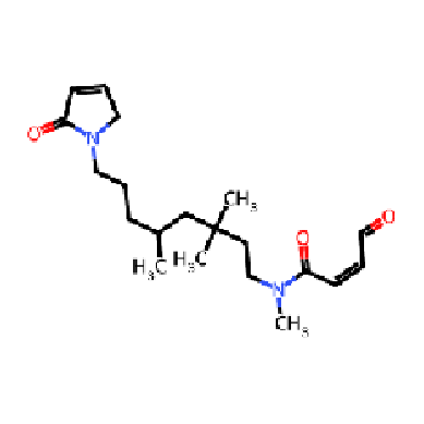 CC(CCCN1CC=CC1=O)CC(C)(C)CCN(C)C(=O)/C=C\C=O